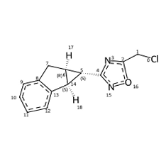 ClCc1nc([C@H]2[C@@H]3Cc4ccccc4[C@@H]32)no1